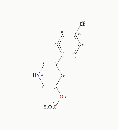 CCOC(=O)OC1CNCC(c2ccc(CC)cc2)C1